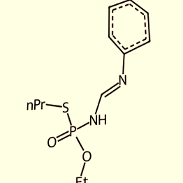 CCCSP(=O)(NC=Nc1ccccc1)OCC